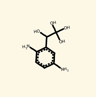 Nc1ccc(N)c(C(O)C(O)(O)O)c1